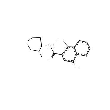 Nc1c(C(=O)N[C@H]2CCOC[C@@H]2O)cc(Br)c2ccccc12